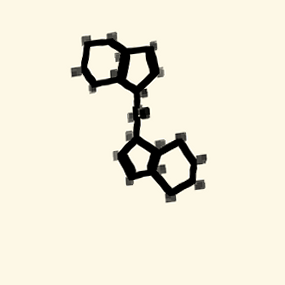 C1=C[CH]([Fe][CH]2C=CC3=C2CCCC3)C2=C1CCCC2